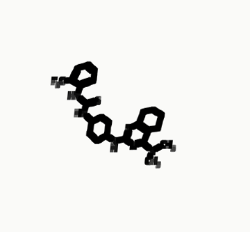 CN(C)c1nc(NC2CCC(NC(=S)Nc3ccccc3C(F)(F)F)CC2)nc2c1CCCC2